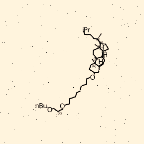 CCCCOC[C@@H](C)COCCCCCCCCOC1CC[C@@]2(C)C(=CC[C@H]3[C@@H]4CC[C@H]([C@H](C)CCCC(C)C)[C@@]4(C)CC[C@@H]32)C1